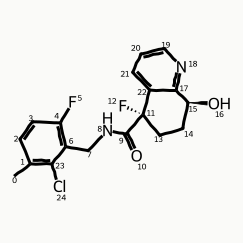 Cc1ccc(F)c(CNC(=O)[C@]2(F)CC[C@H](O)c3ncccc32)c1Cl